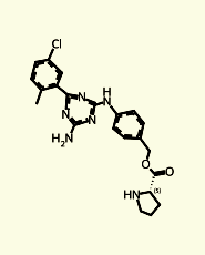 Cc1ccc(Cl)cc1-c1nc(N)nc(Nc2ccc(COC(=O)[C@@H]3CCCN3)cc2)n1